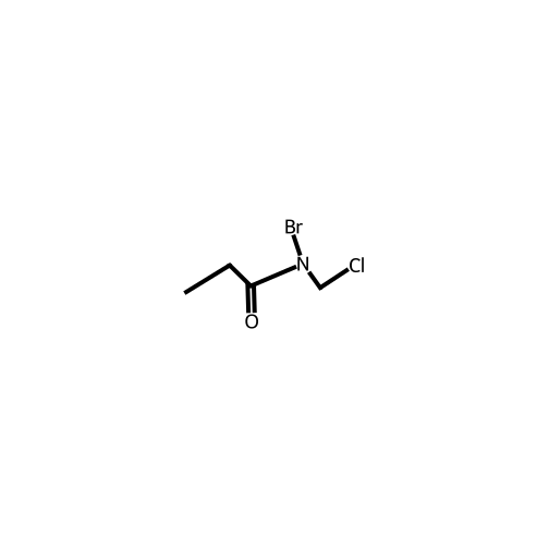 CCC(=O)N(Br)CCl